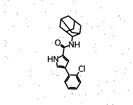 O=C(NC1C2CC3CC(C2)CC1C3)c1cc(-c2ccccc2Cl)c[nH]1